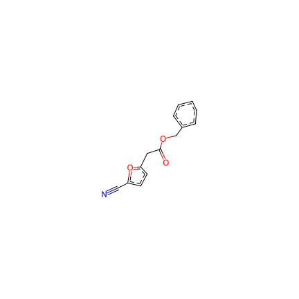 N#Cc1ccc(CC(=O)OCc2ccccc2)o1